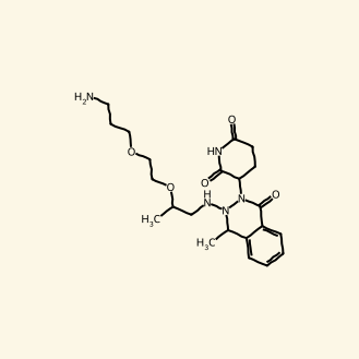 CC(CNN1C(C)c2ccccc2C(=O)N1C1CCC(=O)NC1=O)OCCOCCCN